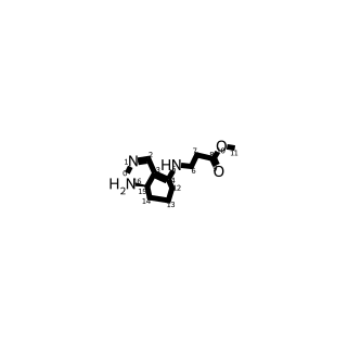 C/N=C\C1=C(NCCC(=O)OC)CCC[C@H]1N